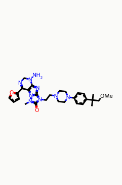 COCC(C)(C)c1ccc(N2CCN(CCn3c(=O)n(C)n4c5c(nc34)N(N)CN=C5c3ccco3)CC2)cc1